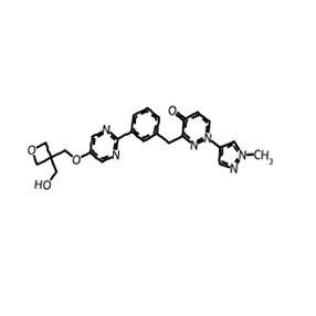 Cn1cc(-n2ccc(=O)c(Cc3cccc(-c4ncc(OCC5(CO)COC5)cn4)c3)n2)cn1